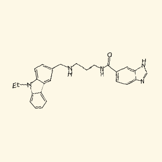 CCn1c2ccccc2c2cc(CNCCCNC(=O)c3ccc4nc[nH]c4c3)ccc21